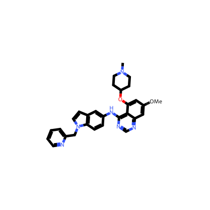 COc1cc(OC2CCN(C)CC2)c2c(Nc3ccc4c(ccn4Cc4ccccn4)c3)ncnc2c1